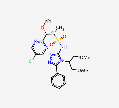 CCCO[C@@H](c1ncc(Cl)cn1)[C@H](C)S(=O)(=O)Nc1nnc(-c2ccccc2)n1C(COC)COC